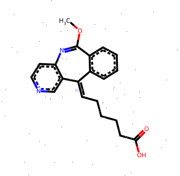 COC1=Nc2ccncc2/C(=C/CCCCC(=O)O)c2ccccc21